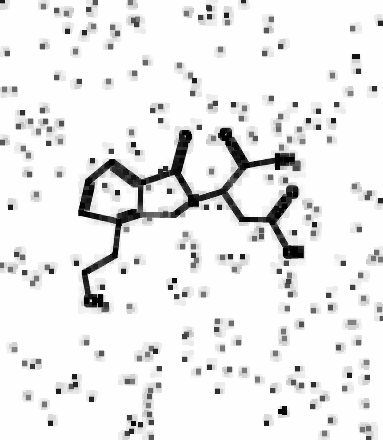 CCCc1cccc2c1CN(C(CC(=O)O)C(N)=O)C2=O